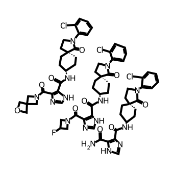 NC(=O)c1[nH]cnc1C(=O)N[C@H]1CC[C@@]2(CCN(c3ccccc3Cl)C2=O)CC1.O=C(N[C@H]1CC[C@@]2(CCN(c3ccccc3Cl)C2=O)CC1)c1[nH]cnc1C(=O)N1CC(F)C1.O=C(N[C@H]1CC[C@@]2(CCN(c3ccccc3Cl)C2=O)CC1)c1[nH]cnc1C(=O)N1CC2(COC2)C1